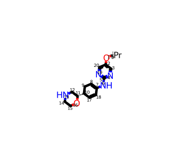 CC(C)Oc1cnc(NC2=CCC([C@H]3CNCCO3)C=C2)nc1